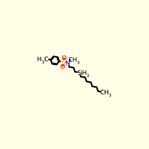 CCCCCCCC[SiH2]CCCN(C)S(=O)(=O)c1ccc(C)cc1